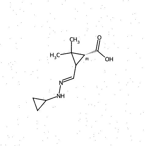 CC1(C)C(C=NNC2CC2)[C@H]1C(=O)O